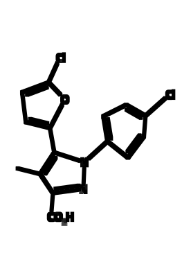 Cc1c(C(=O)O)nn(-c2ccc(Cl)cc2)c1-c1ccc(Cl)o1